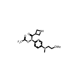 COCCN(C)c1ccc(N(OC(=O)C(F)(F)F)C(=O)C2CNC2)nc1